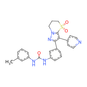 Cc1cccc(NC(=O)Nc2cccc(-c3nn4c(c3-c3ccncc3)S(=O)(=O)CCC4)c2)c1